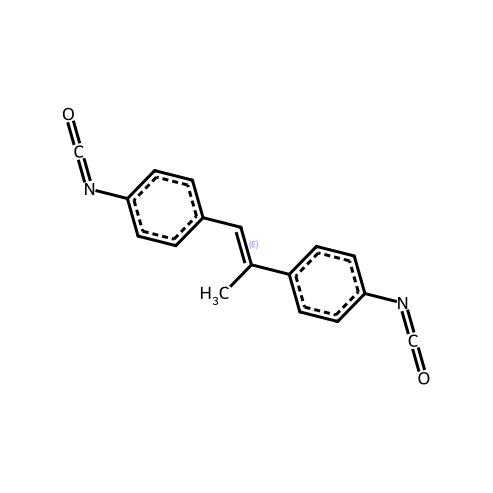 C/C(=C\c1ccc(N=C=O)cc1)c1ccc(N=C=O)cc1